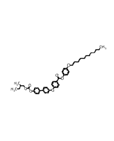 CCCCCCCCCCCCOc1ccc(OC(=O)c2ccc(Oc3ccc(-c4ccc(OC(=O)OCC(C)CC)cc4)cc3)cc2)cc1